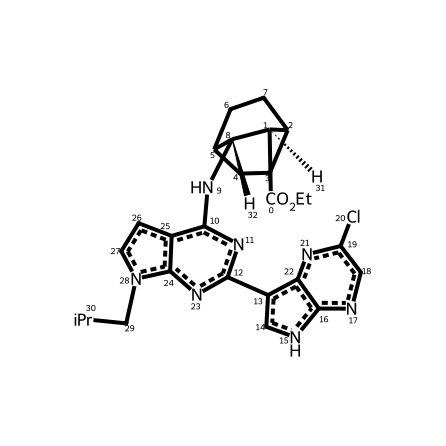 CCOC(=O)[C@@H]1C2CCC(CC2)[C@H]1Nc1nc(-c2c[nH]c3ncc(Cl)nc23)nc2c1ccn2CC(C)C